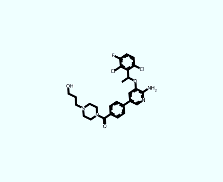 CC(Oc1cc(-c2ccc(C(=O)N3CCN(CCCO)CC3)cc2)cnc1N)c1c(Cl)ccc(F)c1Cl